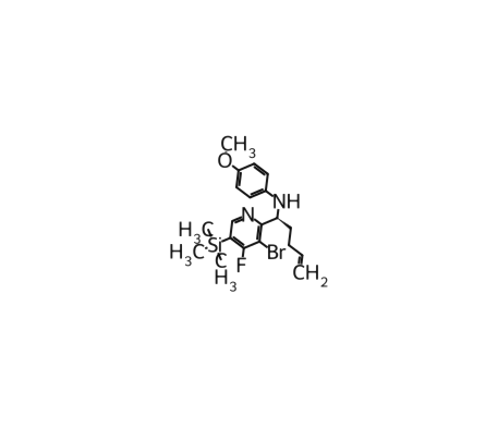 C=CCC[C@H](Nc1ccc(OC)cc1)c1ncc([Si](C)(C)C)c(F)c1Br